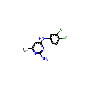 Cc1cc(Nc2ccc(F)c(Cl)c2)nc(N)n1